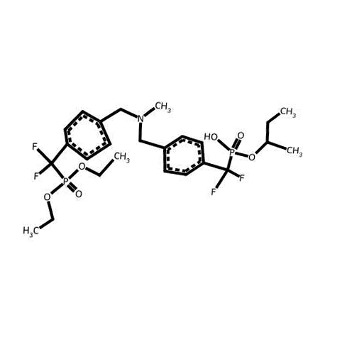 CCOP(=O)(OCC)C(F)(F)c1ccc(CN(C)Cc2ccc(C(F)(F)P(=O)(O)OC(C)CC)cc2)cc1